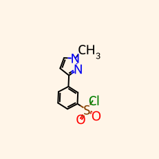 Cn1ccc(-c2cccc(S(=O)(=O)Cl)c2)n1